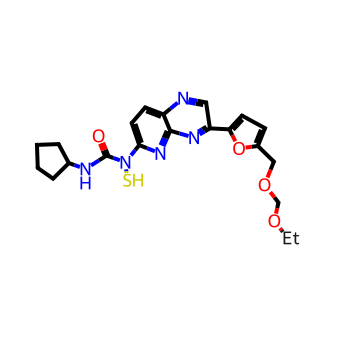 CCOCOCc1ccc(-c2cnc3ccc(N(S)C(=O)NC4CCCC4)nc3n2)o1